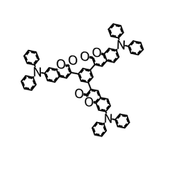 O=c1oc2cc(N(c3ccccc3)c3ccccc3)ccc2cc1-c1cc(-c2cc3ccc(N(c4ccccc4)c4ccccc4)cc3oc2=O)cc(-c2cc3ccc(N(c4ccccc4)c4ccccc4)cc3oc2=O)c1